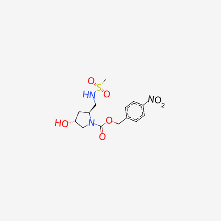 CS(=O)(=O)NC[C@@H]1C[C@@H](O)CN1C(=O)OCc1ccc([N+](=O)[O-])cc1